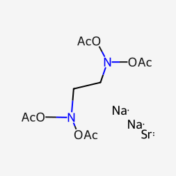 CC(=O)ON(CCN(OC(C)=O)OC(C)=O)OC(C)=O.[Na].[Na].[Sr]